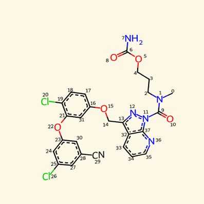 CN(CCCOC(N)=O)C(=O)n1nc(COc2ccc(Cl)c(Oc3cc(Cl)cc(C#N)c3)c2)c2cccnc21